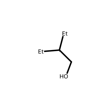 CC[C](CC)CO